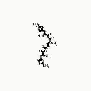 Nc1nc(C[C@H](N)C(=O)OC(=O)CC[C@H](N)C(=O)OC(=O)[C@@H](N)Cc2csc(N)n2)cs1